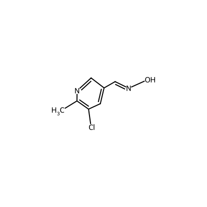 Cc1ncc(/C=N/O)cc1Cl